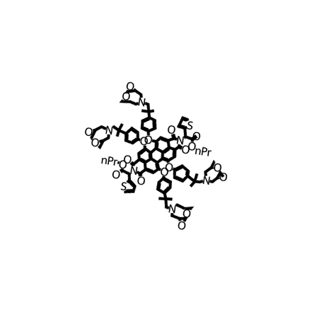 CCCOC(=O)C(c1cccs1)N1C(=O)c2cc(Oc3ccc(C(C)(C)CN(CC4CO4)CC4CO4)cc3)c3c4c(Oc5ccc(C(C)(C)CN(CC6CO6)CC6CO6)cc5)cc5c6c(cc(Oc7ccc(C(C)(C)CN(CC8CO8)CC8CO8)cc7)c(c7c(Oc8ccc(C(C)(C)CN(CC9CO9)CC9CO9)cc8)cc(c2c37)C1=O)c64)C(=O)N(C(C(=O)OCCC)c1cccs1)C5=O